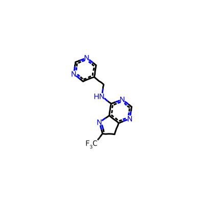 FC(F)(F)C1=Nc2c(ncnc2NCc2cncnc2)C1